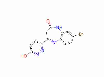 O=C1CC(c2ccc(O)nn2)=Nc2ccc(Br)cc2N1